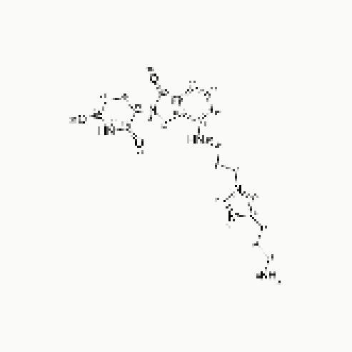 NCCCc1cn(CCCNc2cccc3c2CN(C2CCC(=O)NC2=O)C3=O)cn1